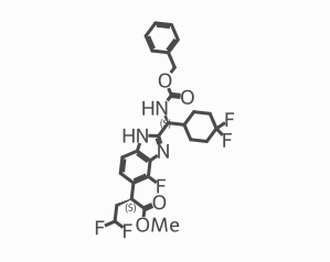 COC(=O)[C@@H](CC(F)F)c1ccc2[nH]c([C@@H](NC(=O)OCc3ccccc3)C3CCC(F)(F)CC3)nc2c1F